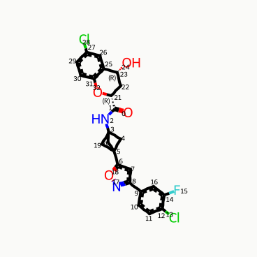 O=C(NC12CC(c3cc(-c4ccc(Cl)c(F)c4)no3)(C1)C2)[C@H]1C[C@@H](O)c2cc(Cl)ccc2O1